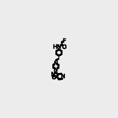 O=C(CF)N[C@H]1CC[C@H](CCN2CCN(c3noc4ccncc34)CC2)CC1